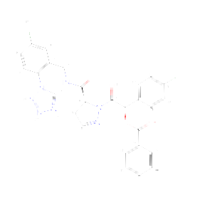 O=C(O[C@@H](C(=O)N1N=CC[C@H]1C(=O)NCc1cc(Cl)ccc1-n1cnnn1)c1ccc(F)cc1)c1ccccc1